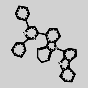 C1=c2c(n(-c3cccc4c3sc3ccccc34)c3cccc(-c4cc(-c5ccccc5)nc(-c5ccccc5)n4)c23)=CCC1